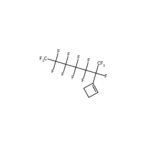 FC(F)(F)C(F)(F)C(F)(F)C(F)(F)C(F)(F)C(F)(C1=CCC1)C(F)(F)F